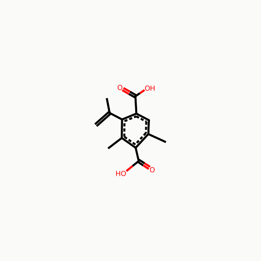 C=C(C)c1c(C(=O)O)cc(C)c(C(=O)O)c1C